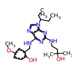 CCC(CC)n1cnc2c(NCc3cc(OC)ccc3O)nc(NCCC(C)(C)O)nc21